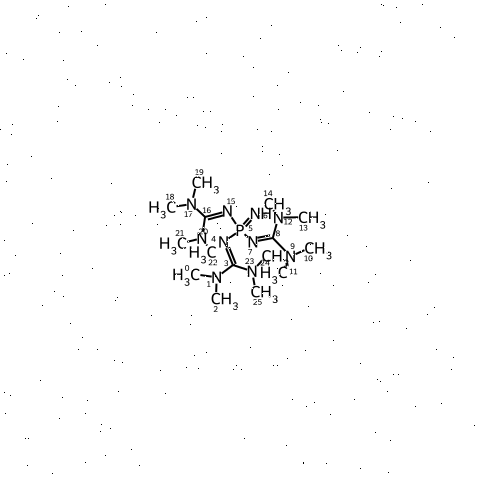 CN(C)C(=NP(=N)(N=C(N(C)C)N(C)C)N=C(N(C)C)N(C)C)N(C)C